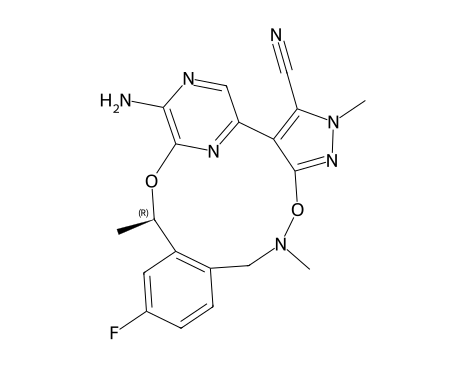 C[C@H]1Oc2nc(cnc2N)-c2c(nn(C)c2C#N)ON(C)Cc2ccc(F)cc21